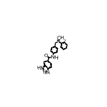 CN(Cc1ccc(NC(=O)c2ccc3nn[nH]c3c2)cc1)c1ccccc1